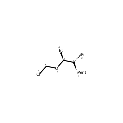 CCC[C@H](C)[C@@H](C(C)C)[C@H](CC)OCCl